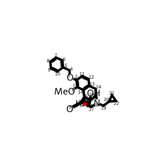 COc1c(OCc2ccccc2)ccc2c1C13CCN(CC4CC4)C(C2)C1(O)CCNC(=O)C3